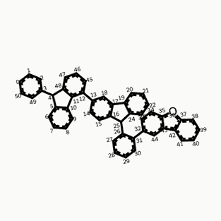 c1ccc(C2c3ccccc3-c3c(-c4ccc5c(c4)-c4ccccc4C5c4ccccc4-c4ccc5oc6ccccc6c5c4)cccc32)cc1